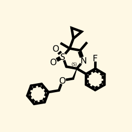 CC1=N[C@](COCc2ccccc2)(c2ccccc2F)CS(=O)(=O)C1(C)C1CC1